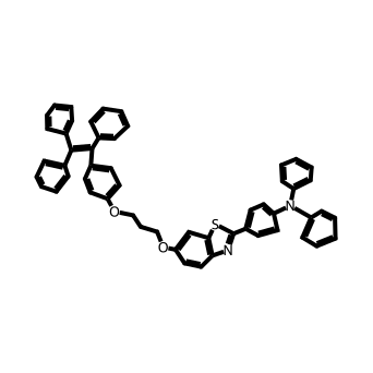 c1ccc(C(=C(c2ccccc2)c2ccc(OCCCOc3ccc4nc(-c5ccc(N(c6ccccc6)c6ccccc6)cc5)sc4c3)cc2)c2ccccc2)cc1